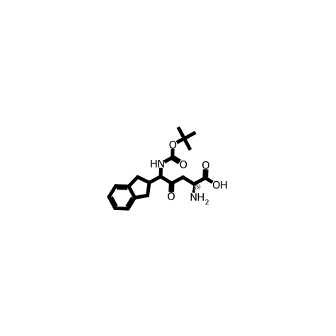 CC(C)(C)OC(=O)NC(C(=O)C[C@H](N)C(=O)O)C1Cc2ccccc2C1